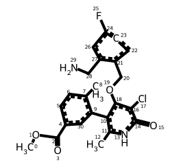 COC(=O)c1ccc(C)c(-c2c(C)[nH]c(=O)c(Cl)c2OCc2ccc(F)cc2CN)c1